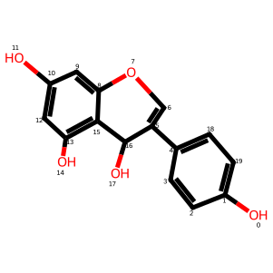 Oc1ccc(C2=COc3cc(O)cc(O)c3C2O)cc1